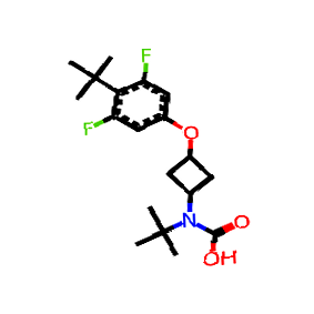 CC(C)(C)c1c(F)cc(OC2CC(N(C(=O)O)C(C)(C)C)C2)cc1F